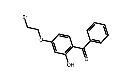 O=C(c1ccccc1)c1ccc(OCCBr)cc1O